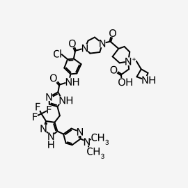 CN(C)c1ccc(-c2[nH]nc(C(F)(F)F)c2Cc2cnc(C(=O)Nc3ccc(C(=O)N4CCN(C(=O)C5CC[N+](CC(=O)O)(CC6CNC6)CC5)CC4)c(Cl)c3)[nH]2)cn1